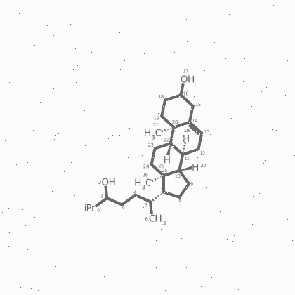 CC(C)C(O)CCC(C)[C@H]1CC[C@H]2[C@@H]3CC=C4CC(O)CC[C@]4(C)[C@H]3CC[C@]12C